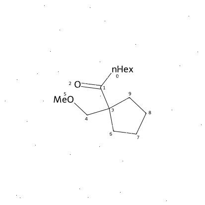 CCCCCCC(=O)C1(COC)CCCC1